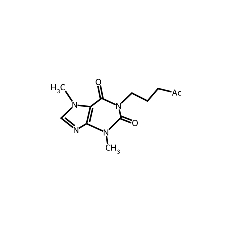 CC(=O)CCCn1c(=O)c2c(ncn2C)n(C)c1=O